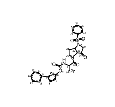 CCCC(NC(=O)Oc1ccc(-c2ccccc2)s1)C(=O)N1CCC2C1C(=O)CN2S(=O)(=O)c1cccnc1